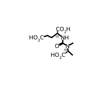 C[C@@H](C(=O)O)N(C)C(=O)N[C@@H](CCC(=O)O)C(=O)O